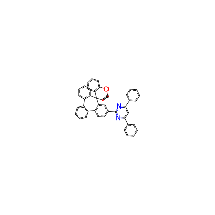 c1ccc(-c2cc(-c3ccccc3)nc(-c3ccc4c(c3)C3(c5ccccc5Oc5ccccc53)c3ccccc3-c3ccccc3-4)n2)cc1